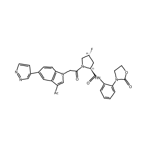 CC(=O)c1cn(CC(=O)N2C[C@H](F)C[C@H]2C(=O)Nc2ccccc2N2CCOC2=O)c2ccc(-c3ccnnc3)cc12